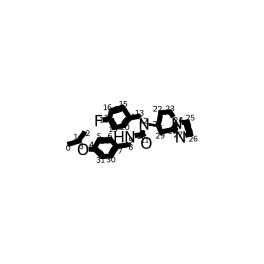 CC(C)Oc1ccc(CNC(=O)N(Cc2ccc(F)cc2)[C@H]2CCn3ccnc3C2)cc1